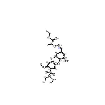 CCOC(=O)C(C)O/N=C\c1cc(Br)c(Oc2ccc(OC)c(S(=O)(=O)N(CC)CC)c2)c(Br)c1